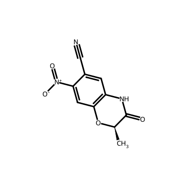 C[C@H]1Oc2cc([N+](=O)[O-])c(C#N)cc2NC1=O